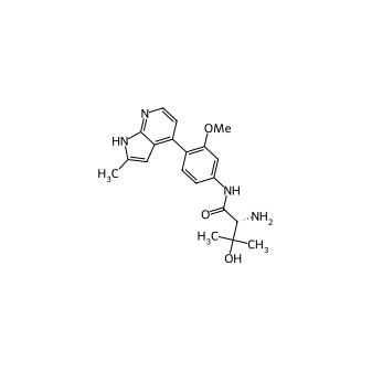 COc1cc(NC(=O)[C@H](N)C(C)(C)O)ccc1-c1ccnc2[nH]c(C)cc12